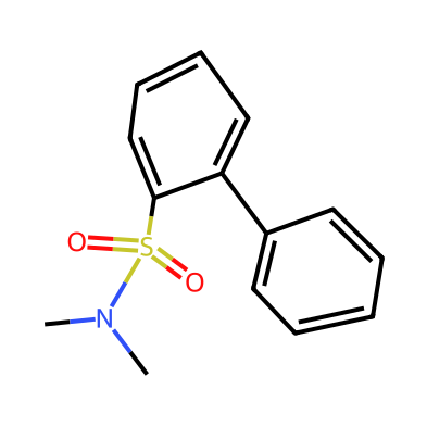 CN(C)S(=O)(=O)c1ccccc1-c1ccccc1